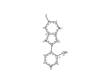 Cc1cnc2oc(-c3ccncc3O)nc2c1